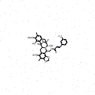 COc1c(C)cc2c(c1O)[C@H]1C3Cc4c(OC(C)=O)c(C)c5c(c4[C@H](COC(=O)/C=C/c4cccc(C(F)(F)F)c4)N3[C@@H](O)[C@@H](C2)N1C)OCO5